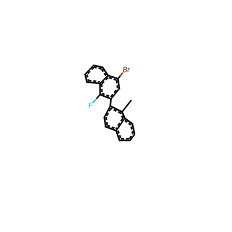 Cc1c(-c2cc(Br)c3ccccc3c2F)ccc2ccccc12